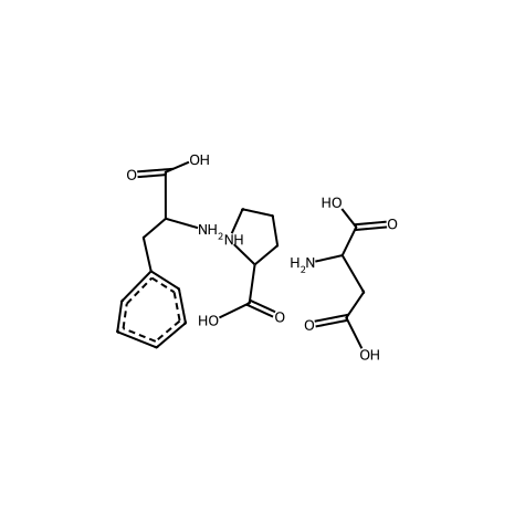 NC(CC(=O)O)C(=O)O.NC(Cc1ccccc1)C(=O)O.O=C(O)C1CCCN1